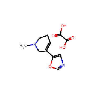 CN1CCC=C(c2cnco2)C1.O=C(O)C(=O)O